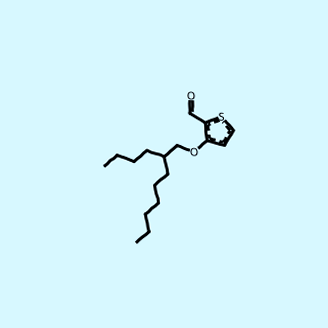 CCCCCCC(CCCC)COc1ccsc1C=O